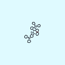 c1ccc(-c2c(-c3c4ccccc4c(N(c4ccccc4)c4ccccc4)c4ccccc34)sc3cc(N(c4ccccc4)c4ccccc4)ccc23)cc1